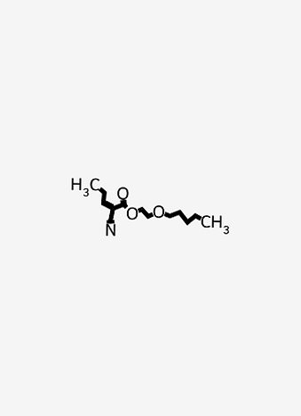 CCC=C(C#N)C(=O)OCCOCCCCC